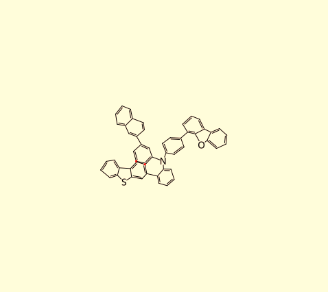 c1cc(-c2ccc3ccccc3c2)cc(N(c2ccc(-c3cccc4c3oc3ccccc34)cc2)c2ccccc2-c2ccc3c(c2)sc2ccccc23)c1